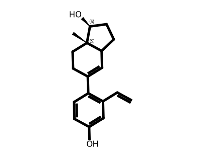 C=Cc1cc(O)ccc1C1=CC2CC[C@H](O)[C@@]2(C)CC1